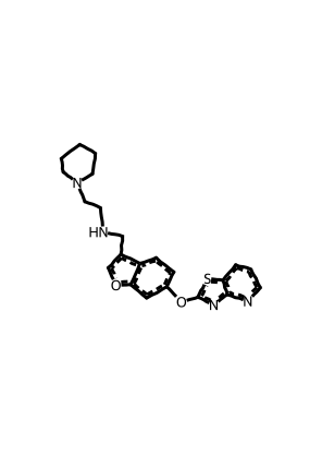 c1cnc2nc(Oc3ccc4c(CNCCN5CCCCC5)coc4c3)sc2c1